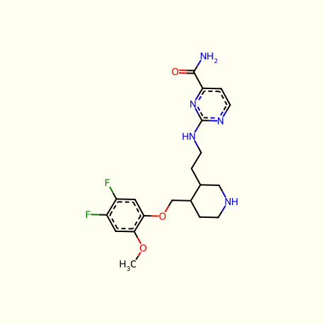 COc1cc(F)c(F)cc1OCC1CCNCC1CCNc1nccc(C(N)=O)n1